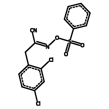 N#CC(Cc1ccc(Cl)cc1Cl)=NOS(=O)(=O)c1ccccc1